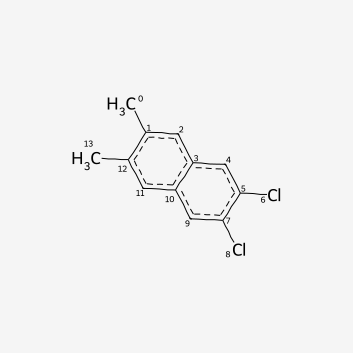 Cc1cc2cc(Cl)c(Cl)cc2cc1C